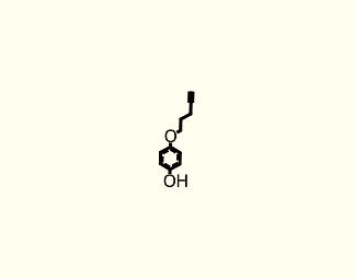 C#CCCCOc1ccc(O)cc1